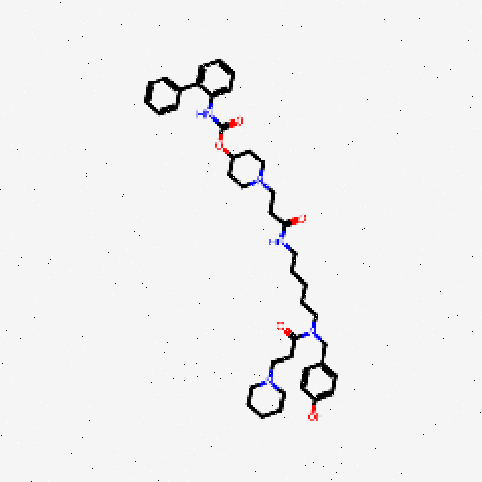 O=C(CCN1CCC(OC(=O)Nc2ccccc2-c2ccccc2)CC1)NCCCCCN(Cc1ccc(O)cc1)C(=O)CCN1CCCCC1